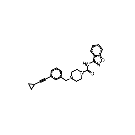 O=C(Nc1noc2ccccc12)N1CCN(Cc2cccc(C#CC3CC3)c2)CC1